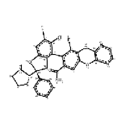 NC(=O)c1cc2c(c(F)c1-c1c(Cl)c(F)cc3c1C[C@](c1ccccc1)([C@@H]1CCCN1)O3)Oc1nccnc1O2